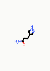 NC(=O)C=Cc1cn[nH]c1